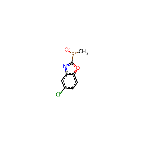 C[S+]([O-])c1nc2cc(Cl)ccc2o1